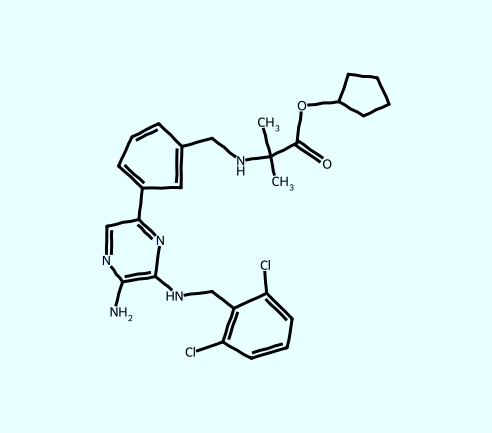 CC(C)(NCc1cccc(-c2cnc(N)c(NCc3c(Cl)cccc3Cl)n2)c1)C(=O)OC1CCCC1